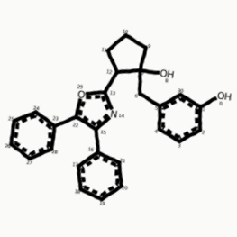 Oc1cccc(CC2(O)CCCC2c2nc(-c3ccccc3)c(-c3ccccc3)o2)c1